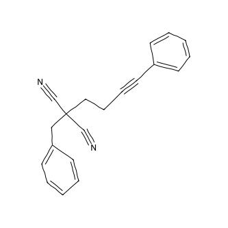 N#CC(C#N)(CCC#Cc1ccccc1)Cc1ccccc1